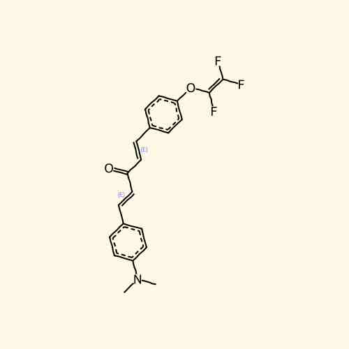 CN(C)c1ccc(/C=C/C(=O)/C=C/c2ccc(OC(F)=C(F)F)cc2)cc1